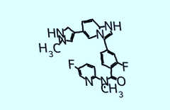 CN1C=C(C2=CN3C(c4ccc(C(=O)N(C)c5ccc(F)cn5)c(F)c4)=CNC3C=C2)CN1